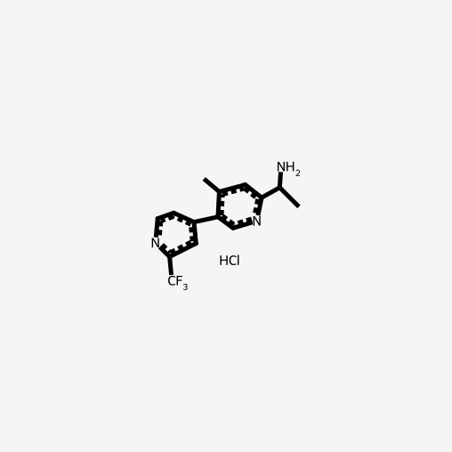 Cc1cc(C(C)N)ncc1-c1ccnc(C(F)(F)F)c1.Cl